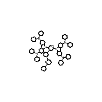 c1ccc(-c2cccc(-c3cccc(-c4cc(-n5c6ccc(N(c7ccccc7)c7ccccc7)cc6c6cc(N(c7ccccc7)c7ccccc7)ccc65)ncc4-n4c5ccc(N(c6ccccc6)c6ccccc6)cc5c5cc(N(c6ccccc6)c6ccccc6)ccc54)c3)n2)cc1